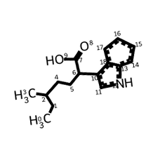 CCC(C)CCC(C(=O)O)c1c[nH]c2ccccc12